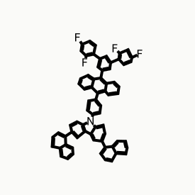 Fc1ccc(-c2cc(-c3ccc(F)cc3F)cc(-c3c4ccccc4c(-c4ccc(-n5c6ccc(-c7cccc8ccccc78)cc6c6cc(-c7cccc8ccccc78)ccc65)cc4)c4ccccc34)c2)c(F)c1